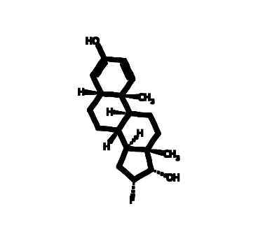 C[C@]12C=CC(O)=C[C@H]1CC[C@@H]1[C@@H]2CC[C@]2(C)[C@H](O)[C@H](F)C[C@@H]12